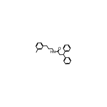 Cc1cccc(CCCNC(=O)CC(c2ccccc2)c2ccccc2)c1